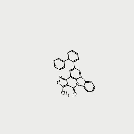 Cc1onc2c1c(=O)n1c3ccccc3c3cc(-c4ccccc4-c4ccccc4)cc2c31